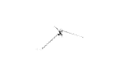 CCCCCCCCCCCCCCCCCC(=O)O[Si](CCCCCS)(OCC)OC(=O)CCCCCCCCCCCCCCCCC